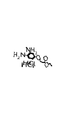 CCOC(=O)COc1ccc(N)c(N)c1.Cl.Cl